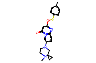 Cc1ccc(SOc2cc(=O)n3cc(N4CCN(C)C5(CC5)C4)ccc3n2)cc1